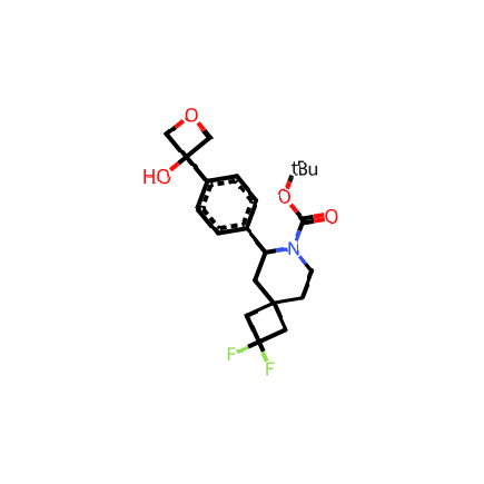 CC(C)(C)OC(=O)N1CCC2(CC1c1ccc(C3(O)COC3)cc1)CC(F)(F)C2